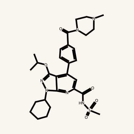 CC(C)Oc1nn(C2CCCCC2)c2nc(C(=O)NS(C)(=O)=O)cc(-c3ccc(C(=O)N4CCN(C)CC4)cc3)c12